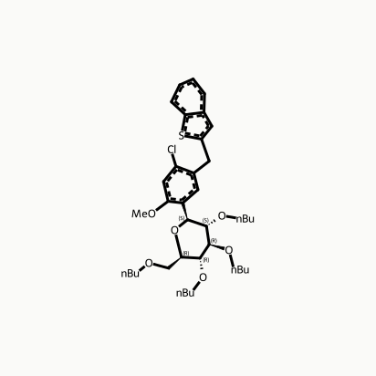 CCCCOC[C@H]1O[C@@H](c2cc(Cc3cc4ccccc4s3)c(Cl)cc2OC)[C@H](OCCCC)[C@@H](OCCCC)[C@@H]1OCCCC